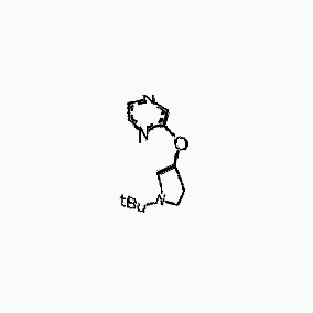 CC(C)(C)N1CCC(Oc2cnccn2)C1